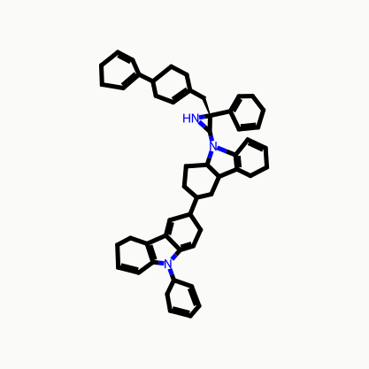 C1=CCC(n2c3c(c4c2=CCC(C2CCC5C(C2)C2=C(C=CCC2)N5C2N[C@]2(CC2=CCC(C5=CCCC=C5)CC2)C2=CCCC=C2)C=4)CCC=C3)C=C1